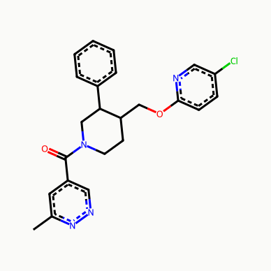 Cc1cc(C(=O)N2CCC(COc3ccc(Cl)cn3)C(c3ccccc3)C2)cnn1